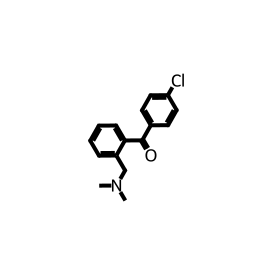 CN(C)Cc1ccccc1C(=O)c1ccc(Cl)cc1